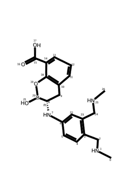 CNCc1ccc(N[C@H]2Cc3cccc(C(=O)O)c3OB2O)cc1CNC